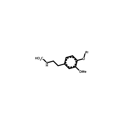 COc1cc(CCNC(=O)O)ccc1OC(C)C